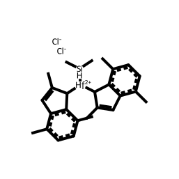 CC1=Cc2c(C)ccc(C)c2[CH]1[Hf+2]([CH]1C(C)=Cc2c(C)ccc(C)c21)[SiH](C)C.[Cl-].[Cl-]